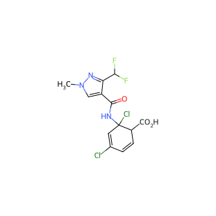 Cn1cc(C(=O)NC2(Cl)C=C(Cl)C=CC2C(=O)O)c(C(F)F)n1